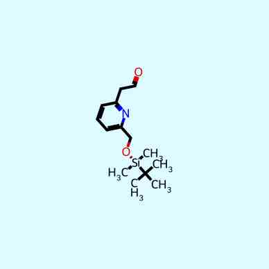 CC(C)(C)[Si](C)(C)OCc1cccc(CC=O)n1